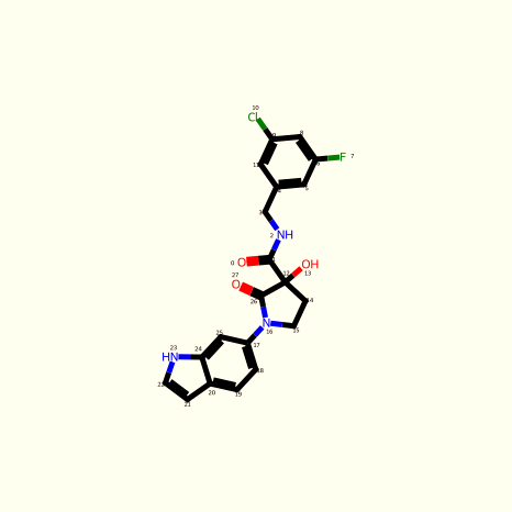 O=C(NCc1cc(F)cc(Cl)c1)C1(O)CCN(c2ccc3cc[nH]c3c2)C1=O